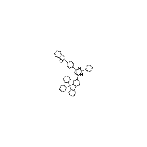 c1ccc(-c2nc(-c3ccc(-c4cc5ccccc5o4)cc3)nc(-c3ccc4c(c3)C(c3ccccc3)(c3ccccc3)c3ccccc3-4)n2)cc1